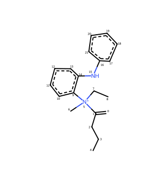 C=C(CCC)[N+](C)(CC)c1ccccc1Nc1ccccc1